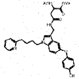 COC(=O)C(CC(=O)NCc1cn(CCCCc2ccccn2)c2ccc(Oc3ccc(O)cc3)cc12)NC(C)=O